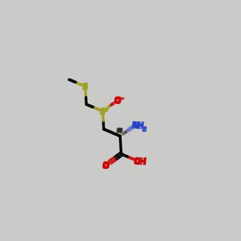 CSC[S+]([O-])C[C@H](N)C(=O)O